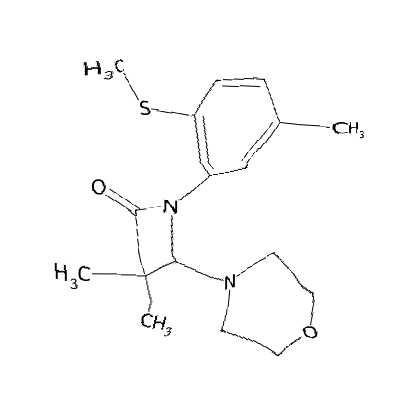 CSc1ccc(C)cc1N1C(=O)C(C)(C)C1N1CCOCC1